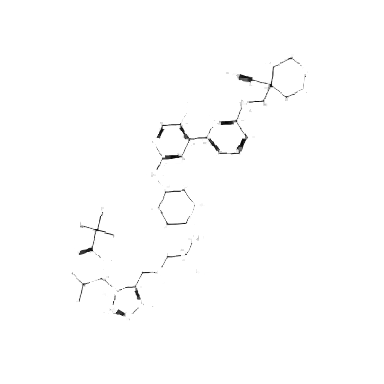 CC(C)[C@H](OC(=O)C(C)(C)C)n1nnnc1COC[C@@H](C)N[C@H]1CC[C@H](Nc2cc(-c3cccc(NCC4(C#N)CCOCC4)n3)c(Cl)cn2)CC1